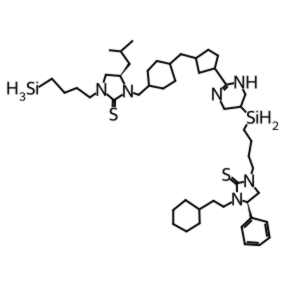 CC(C)C[C@@H]1CN(CCCC[SiH3])C(=S)N1CC1CCC(CC2CCC(C3=NCC([SiH2]CCCCN4C[C@@H](c5ccccc5)N(CCC5CCCCC5)C4=S)CN3)C2)CC1